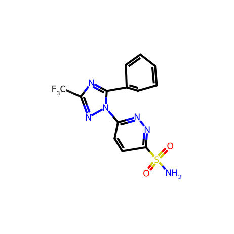 NS(=O)(=O)c1ccc(-n2nc(C(F)(F)F)nc2-c2ccccc2)nn1